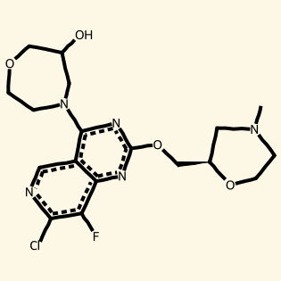 CN1CCO[C@@H](COc2nc(N3CCOCC(O)C3)c3cnc(Cl)c(F)c3n2)C1